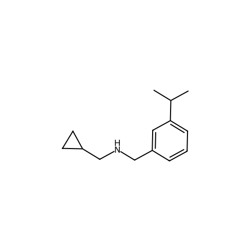 CC(C)c1cccc(CNCC2CC2)c1